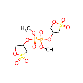 COP(=O)(OC1COS(=O)(=O)C1)P(=O)(OC)OC1COS(=O)(=O)C1